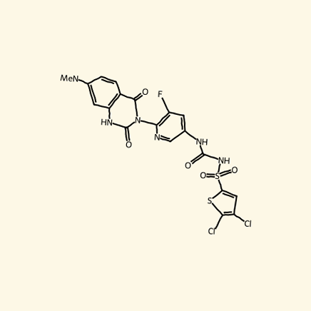 CNc1ccc2c(=O)n(-c3ncc(NC(=O)NS(=O)(=O)c4cc(Cl)c(Cl)s4)cc3F)c(=O)[nH]c2c1